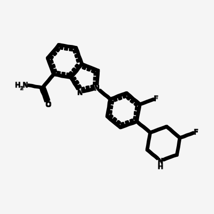 NC(=O)c1cccc2cn(-c3ccc(C4CNCC(F)C4)c(F)c3)nc12